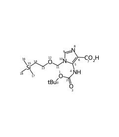 CC(C)(C)OC(=O)Nc1c(C(=O)O)ncn1COCC[Si](C)(C)C